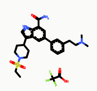 CCS(=O)(=O)N1CCC(c2c[nH]c3c(C(N)=O)cc(-c4cccc(CCN(C)C)c4)cc23)CC1.O=C(O)C(F)(F)F